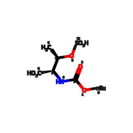 CCCCOC(=O)N[C@H](C(=O)O)[C@@H](C)OS(=O)(=O)O